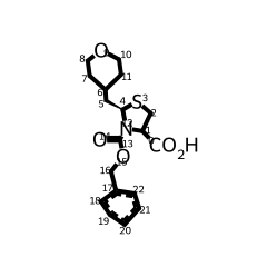 O=C(O)C1CS[C@H](CC2CCOCC2)N1C(=O)OCc1ccccc1